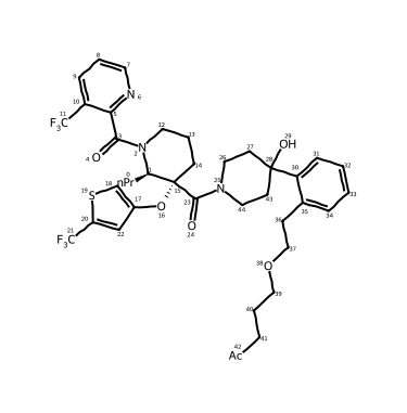 CCC[C@H]1N(C(=O)c2ncccc2C(F)(F)F)CCC[C@@]1(Oc1csc(C(F)(F)F)c1)C(=O)N1CCC(O)(c2ccccc2CCOCCCC(C)=O)CC1